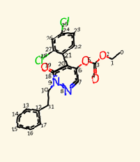 CCOC(=O)Oc1cnn(CCc2ccccc2)c(=O)c1-c1ccc(Cl)cc1Cl